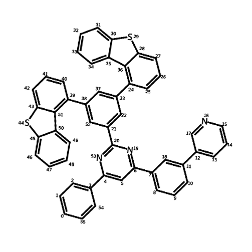 c1ccc(-c2cc(-c3cccc(-c4cccnc4)c3)nc(-c3cc(-c4cccc5sc6ccccc6c45)cc(-c4cccc5sc6ccccc6c45)c3)n2)cc1